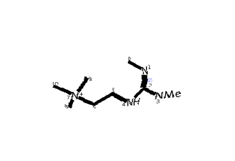 C/N=C(/NC)NCC[N+](C)(C)C